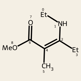 CCNC(CC)=C(C)C(=O)OC